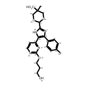 CC1(C(=O)O)COC(c2nc(-c3ccc(F)cc3)c(-c3ccnc(OCCCO)n3)[nH]2)OC1